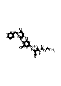 CCOC(=O)NC(=O)C(C#N)=NNc1cc(Cl)c(Oc2ccc(=O)n(Cc3ccccc3)n2)c(Cl)c1